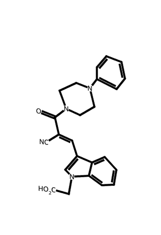 N#C/C(=C\c1cn(CC(=O)O)c2ccccc12)C(=O)N1CCN(c2ccccc2)CC1